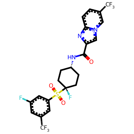 O=C(N[C@H]1CC[C@@](F)(S(=O)(=O)c2cc(F)cc(C(F)(F)F)c2)CC1)c1cn2cc(C(F)(F)F)ccc2n1